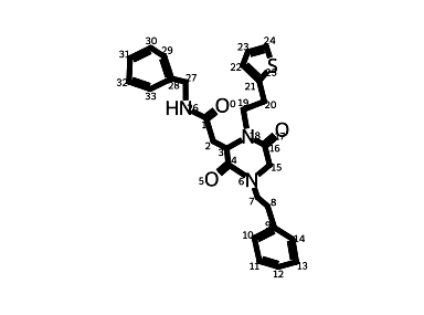 O=C(CC1C(=O)N(CCc2ccccc2)CC(=O)N1CCc1cccs1)NCc1ccccc1